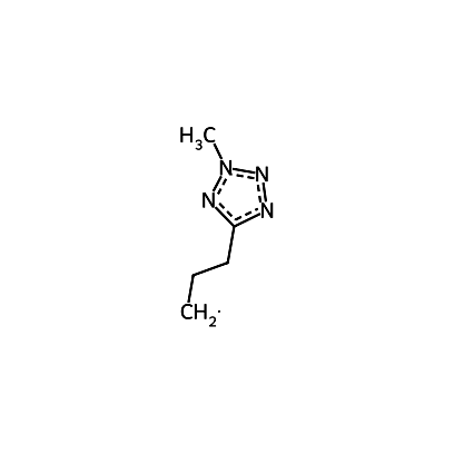 [CH2]CCc1nnn(C)n1